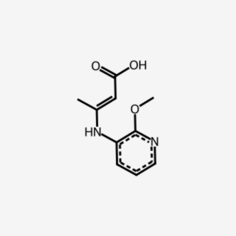 COc1ncccc1NC(C)=CC(=O)O